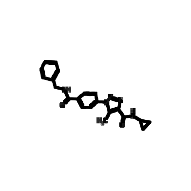 Cc1c(C(=O)NC2CC2)nnn1-c1ccc(C(=O)NCc2ccccc2)cc1